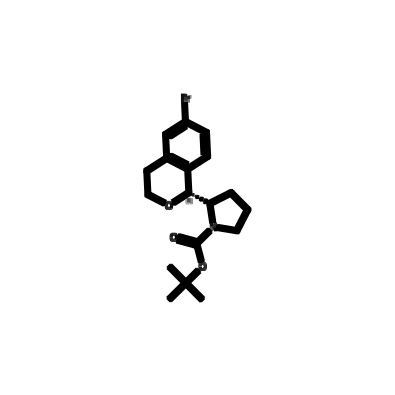 CC(C)(C)OC(=O)N1CCCC1[C@@H]1OCCc2cc(Br)ccc21